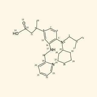 CC(C)CN(c1ccc(C(C)CC(=O)O)cc1NCc1ccccn1)C1CCCCC1